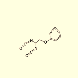 O=C=NC(COc1ccccc1)N=C=O